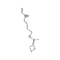 C=CBCCCCOC(C)=C1CCC1